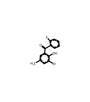 CCc1cc(C)cc(C(=O)c2ccccc2F)c1O